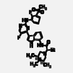 CCC(C(=O)Nc1cccc2c(-c3nc(Nc4cccc(S(C)(=O)=O)c4F)ncc3F)c[nH]c12)N1C[C@H](C)N(C)[C@@H](C)C1